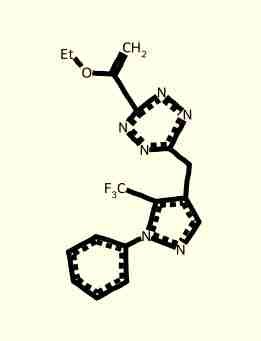 C=C(OCC)c1nnc(Cc2cnn(-c3ccccc3)c2C(F)(F)F)nn1